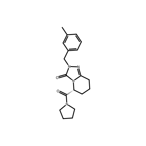 Cc1cccc(Cn2nc3n(c2=O)[C@@H](C(=O)N2CCCC2)CCC3)c1